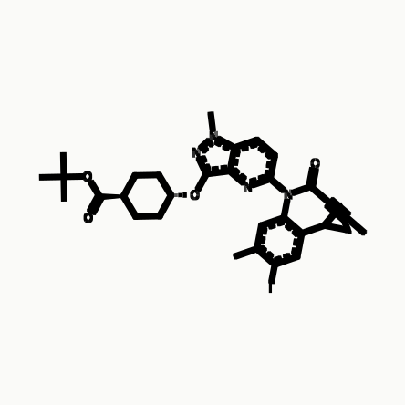 CC#CC(=O)N(c1ccc2c(n1)c(O[C@H]1CC[C@H](C(=O)OC(C)(C)C)CC1)nn2C)c1cc(C)c(I)cc1C1CC1